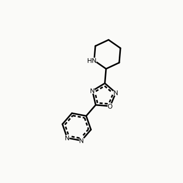 c1cc(-c2nc(C3CCCCN3)no2)cnn1